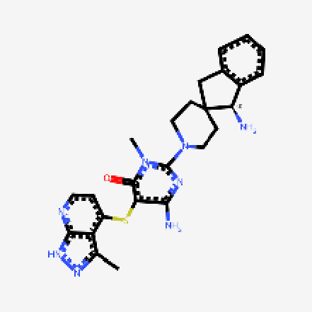 Cc1n[nH]c2nccc(Sc3c(N)nc(N4CCC5(CC4)Cc4ccccc4[C@H]5N)n(C)c3=O)c12